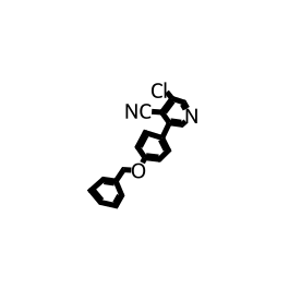 N#Cc1c(Cl)cncc1-c1ccc(OCc2ccccc2)cc1